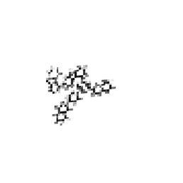 C1=Cc2sc3cccc(-c4ccc5c(c4)oc4cccc(-c6nc(-c7ccc(-c8ccc9ccccc9c8)cc7)nc(-c7ccc8ccccc8c7)n6)c45)c3c2CC1